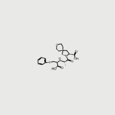 C[C@H](NC(CCc1ccccc1)C(=O)O)C(=O)N1CC2(CCOCC2)C[C@H]1C(=O)O